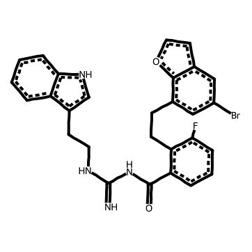 N=C(NCCc1c[nH]c2ccccc12)NC(=O)c1cccc(F)c1CCc1cc(Br)cc2ccoc12